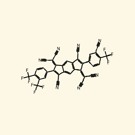 N#CC(C#N)=C1C(c2ccc(C(F)(F)F)c(C#N)c2)=C(C#N)c2cc3c(cc21)C(C#N)=C(c1ccc(C(F)(F)F)c(C(F)(F)F)c1)C3=C(C#N)C#N